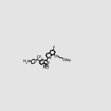 COCCCOc1cc(F)cc2ccc(-c3nnc4ccc([C@@H](N5CCC(N)C5)C(F)(F)F)cn34)nc12.Cl.Cl